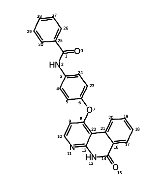 O=C(Nc1ccc(Oc2ccnc3[nH]c(=O)c4ccccc4c23)cc1)c1ccccc1